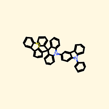 c1ccc(-n2c3ccccc3c3cc(N4c5ccccc5C(c5ccccc5)(c5cccc6c5sc5ccccc56)c5ccccc54)ccc32)cc1